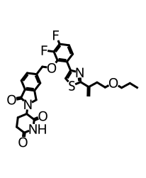 C=C(CCOCCC)c1nc(-c2ccc(F)c(F)c2OCc2ccc3c(c2)CN(C2CCC(=O)NC2=O)C3=O)cs1